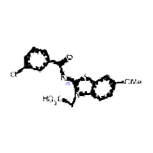 COc1ccc2c(c1)s/c(=N\C(=O)c1cccc(Cl)c1)n2CC(=O)O